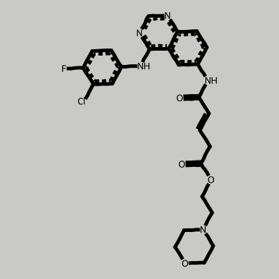 O=C(/C=C/CC(=O)OCCN1CCOCC1)Nc1ccc2ncnc(Nc3ccc(F)c(Cl)c3)c2c1